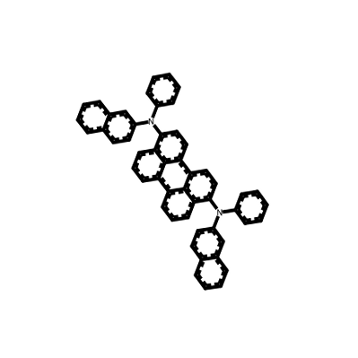 c1ccc(N(c2ccc3ccccc3c2)c2ccc3c4ccc(N(c5ccccc5)c5ccc6ccccc6c5)c5cccc(c6cccc2c63)c54)cc1